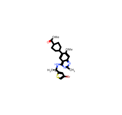 COC(=O)C1CCC(c2cc3c(N[C@H](C)c4cc(Br)cs4)nc(C)nc3cc2OC)CC1